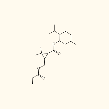 CCC(=O)OCC1C(C(=O)OC2CC(C)CCC2C(C)C)C1(C)C